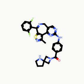 Cc1nsc2c1-c1nc(Nc3ccc(C(=O)N4CC5(CCCN5)C4)cc3)ncc1CN=C2c1c(F)cccc1F